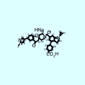 Cn1cc(-c2ccc3c(c2)C(=O)CC2(CCN(C(=O)c4cc(-c5ccc(C(=O)O)cc5)c5ccn(C6CC6)c5c4)CC2)O3)cn1.[NaH]